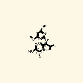 COc1cc(OC)nc(OC(C(=O)N[C@@H](C)C(=O)O)C(C)C)n1